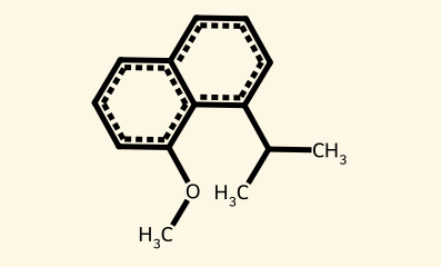 COc1cccc2cccc(C(C)C)c12